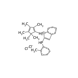 CC1=C(C)C(C)(C)[C]([Hf+2][CH]2C(Pc3ccccc3C)=Cc3ccccc32)=C1C.[Cl-].[Cl-]